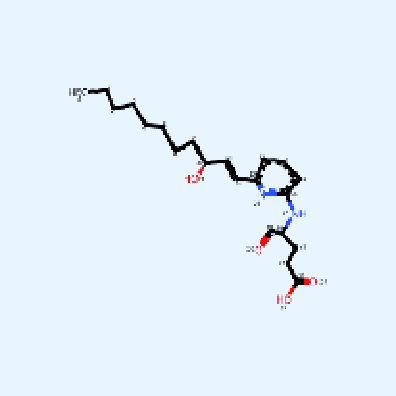 CCCCCCCC[C@H](O)/C=C/c1cccc(NC(C=O)CCC(=O)O)n1